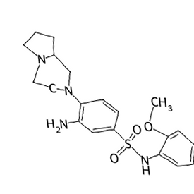 COc1ccccc1NS(=O)(=O)c1ccc(N2CCN3CCCC3C2)c(N)c1